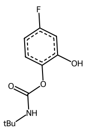 CC(C)(C)NC(=O)Oc1ccc(F)cc1O